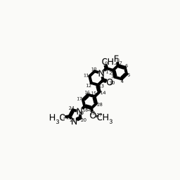 C=C(c1ccccc1F)N1CCC/C(=C\c2ccc(-n3cnc(C)c3)c(OC)c2)C1=O